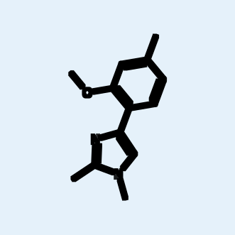 COc1cc(C)ccc1-c1cn(C)c(C)n1